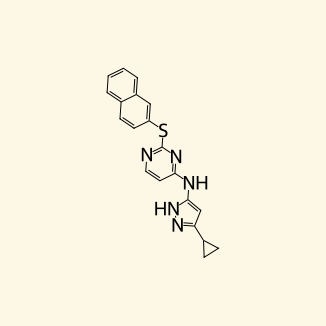 c1ccc2cc(Sc3nccc(Nc4cc(C5CC5)n[nH]4)n3)ccc2c1